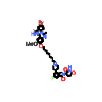 COc1cc2c(N[C@H](C)c3cccc(Br)c3)nc(C)nc2cc1OCCCCCCCCCN1CCC(c2cc(F)cc3c2CN(C2CCC(=O)NC2=O)C3=O)CC1